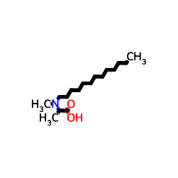 CCCCCCCCCCCCCN(C)C(C)C(=O)O